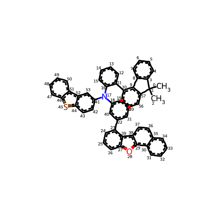 CC1(C)c2ccccc2-c2c(-c3ccccc3N(c3cccc(-c4cccc5oc6c7ccccc7ccc6c45)c3)c3ccc4sc5ccccc5c4c3)cccc21